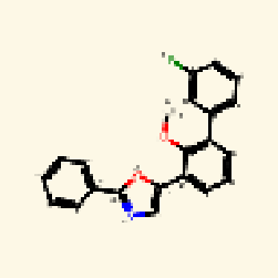 COc1c(-c2cccc(F)c2)cccc1-c1cnc(-c2ccccc2)o1